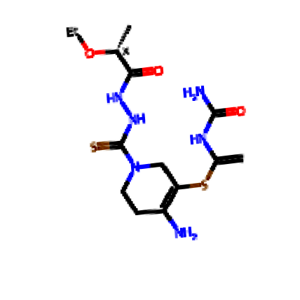 C=C(NC(N)=O)SC1=C(N)CCN(C(=S)NNC(=O)[C@@H](C)OCC)C1